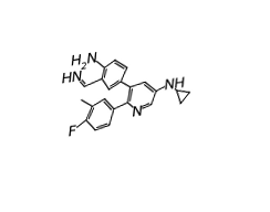 Cc1cc(-c2ncc(NC3CC3)cc2-c2ccc(N)c(C=N)c2)ccc1F